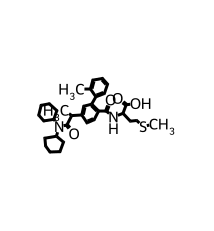 CSCCC(NC(=O)c1ccc(C(C)C(=O)N(C2CCCCC2)C2CCCCC2)cc1-c1ccccc1C)C(=O)O